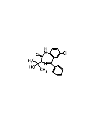 CC(C)(O)C1N=C(c2ccccc2)c2cc(Cl)ccc2NC1=O